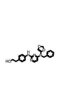 OCCc1ccc(Nc2nccc(N(Cc3ccccc3)C3=COCO3)n2)cc1